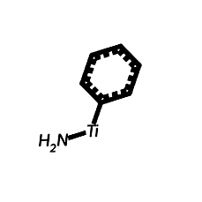 [NH2][Ti][c]1ccccc1